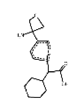 NC1(c2ccc(C(C(=O)O)C3CCCCC3)cc2)COC1